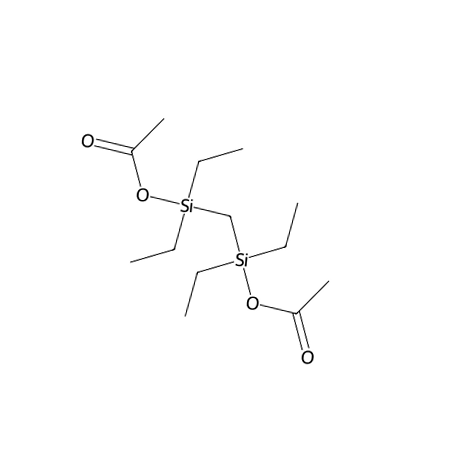 CC[Si](CC)(C[Si](CC)(CC)OC(C)=O)OC(C)=O